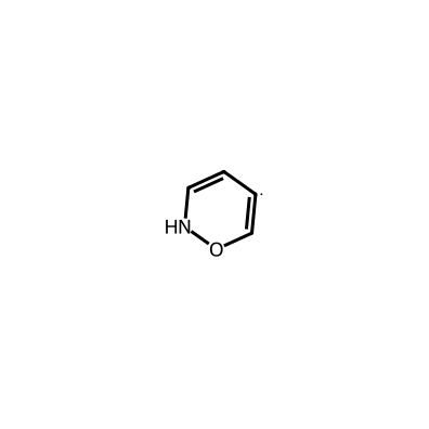 [C]1=CONC=C1